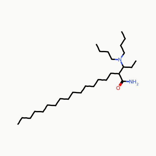 CCCCCCCCCCCCCCCCC(C(N)=O)C(CC)N(CCCC)CCCC